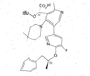 Cc1ncc(-c2cnc(O[C@@H](C)Cc3ccccc3)c(F)c2)c(N2CCC(C)(C)CC2)c1[C@H](OC(C)(C)C)C(=O)O